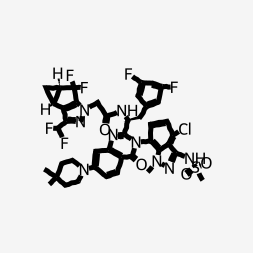 Cn1nc(NS(C)(=O)=O)c2c(Cl)ccc(-n3c([C@H](Cc4cc(F)cc(F)c4)NC(=O)Cn4nc(C(F)F)c5c4C(F)(F)[C@@H]4C[C@H]54)nc4cc(N5CCC(C)(C)CC5)ccc4c3=O)c21